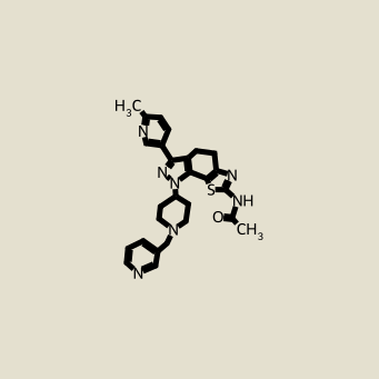 CC(=O)Nc1nc2c(s1)-c1c(c(-c3ccc(C)nc3)nn1C1CCN(Cc3cccnc3)CC1)CC2